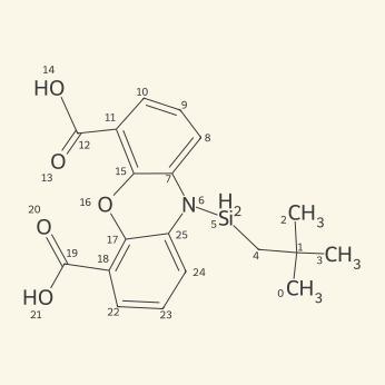 CC(C)(C)C[SiH2]N1c2cccc(C(=O)O)c2Oc2c(C(=O)O)cccc21